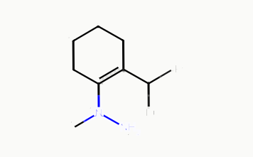 CCC(C1=C(N(C)N)CCCC1)C(C)C